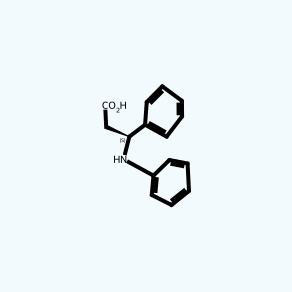 O=C(O)C[C@H](Nc1ccccc1)c1ccccc1